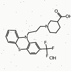 Cl.O=C(O)C1CCCN(CCCN2c3ccccc3Sc3ccc(C(F)(F)F)cc32)C1